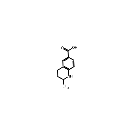 CC1CCc2cc(C(=O)O)ccc2N1